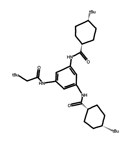 CC(C)(C)CC(=O)Nc1cc(NC(=O)[C@H]2CC[C@@H](C(C)(C)C)CC2)cc(NC(=O)[C@H]2CC[C@@H](C(C)(C)C)CC2)c1